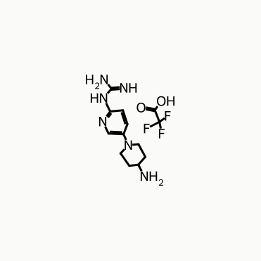 N=C(N)Nc1ccc(N2CCC(N)CC2)cn1.O=C(O)C(F)(F)F